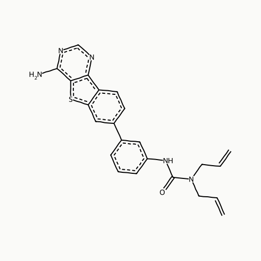 C=CCN(CC=C)C(=O)Nc1cccc(-c2ccc3c(c2)sc2c(N)ncnc23)c1